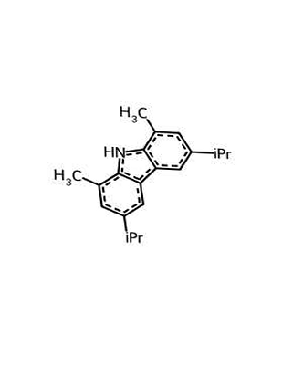 Cc1cc(C(C)C)cc2c1[nH]c1c(C)cc(C(C)C)cc12